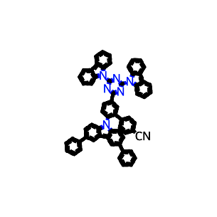 N#Cc1ccc(-c2cc(-c3nc(-n4c5ccccc5c5ccccc54)nc(-n4c5ccccc5c5ccccc54)n3)ccc2-n2c3ccc(-c4ccccc4)cc3c3cc(-c4ccccc4)ccc32)cc1